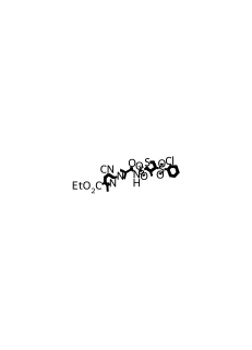 CCOC(=O)c1cc(C#N)c(N2CC(C(=O)NS(=O)(=O)c3scc(S(=O)(=O)c4ccccc4Cl)c3C)C2)nc1C